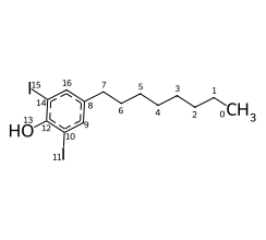 CCCCCCCCc1cc(I)c(O)c(I)c1